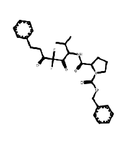 CC(C)C(NC(=O)C1CCCN1C(=O)OCc1ccccc1)C(=O)C(F)(F)C(=O)CCc1ccccc1